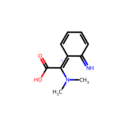 CN(C)/C(C(=O)O)=C1/C=CC=CC1=N